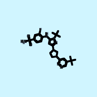 CC(C)(C)c1cnnc(C2CCC(c3cc(Nc4ccc(S(N)(=O)=O)cc4F)n(C(C)(C)C)n3)C2)c1